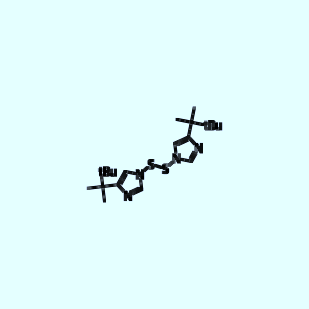 CC(C)(C)C(C)(C)c1cn(SSn2cnc(C(C)(C)C(C)(C)C)c2)cn1